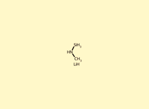 CN[SiH3].[LiH]